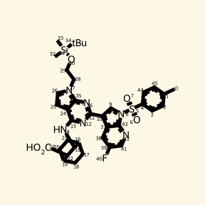 Cc1ccc(S(=O)(=O)n2cc(-c3nc(NC4C5CCC(CC5)C4C(=O)O)c4ccn(CCO[Si](C)(C)C(C)(C)C)c4n3)c3cc(F)cnc32)cc1